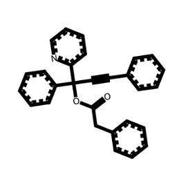 O=C(Cc1ccccc1)OC(C#Cc1ccccc1)(c1ccccc1)c1ccccn1